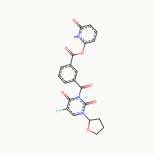 O=C(Oc1cccc(=O)[nH]1)c1cccc(C(=O)n2c(=O)c(F)cn(C3CCCO3)c2=O)c1